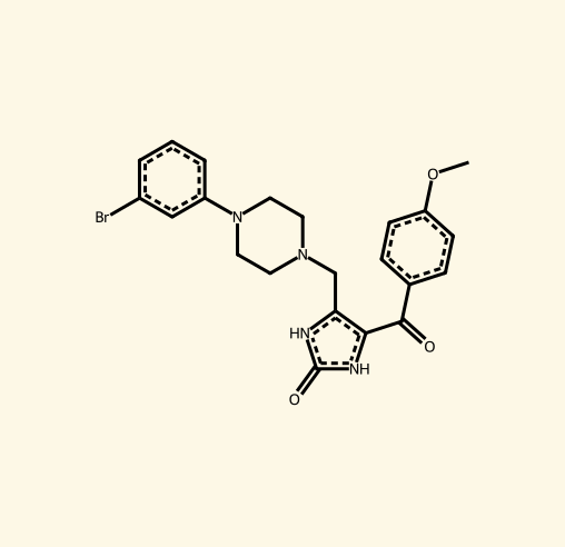 COc1ccc(C(=O)c2[nH]c(=O)[nH]c2CN2CCN(c3cccc(Br)c3)CC2)cc1